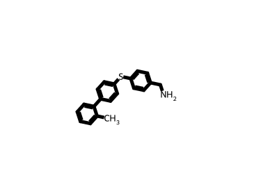 Cc1ccccc1-c1ccc(Sc2ccc(CN)cc2)cc1